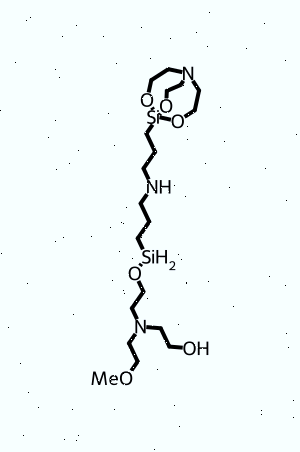 COCCN(CCO)CCO[SiH2]CCCNCCC[Si]12OCCN(CCO1)CCO2